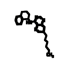 CCCCCCc1cnc2c(NC3CCCc4ccccc43)ncnc2c1